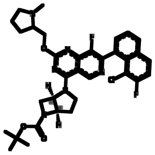 CN1CCCC1COc1nc(N2CC[C@@H]3[C@H]2CN3C(=O)OC(C)(C)C)c2cnc(-c3cccc4ccc(F)c(Cl)c34)c(F)c2n1